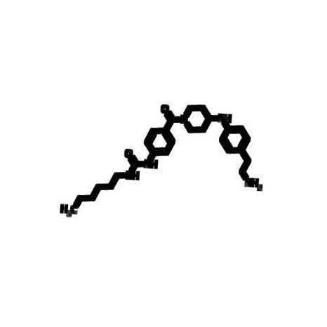 CCCCCCNC(=O)Nc1ccc(C(=O)N2CCC(Nc3ccc(CCN)cc3)CC2)cc1